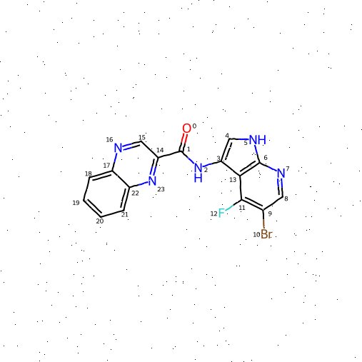 O=C(Nc1c[nH]c2ncc(Br)c(F)c12)c1cnc2ccccc2n1